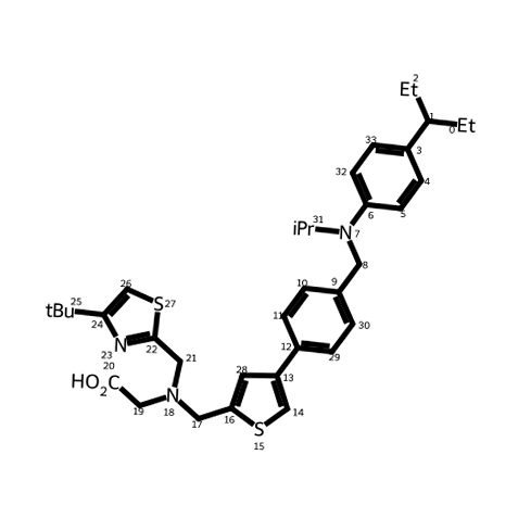 CCC(CC)c1ccc(N(Cc2ccc(-c3csc(CN(CC(=O)O)Cc4nc(C(C)(C)C)cs4)c3)cc2)C(C)C)cc1